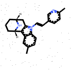 Cc1ccc2c(c1)c1c(n2/C=C/c2ccc(C)nc2)C[C@H]2CCC[C@@H]1N2